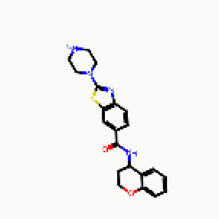 O=C(NC1CCOc2ccccc21)c1ccc2nc(N3CCNCC3)sc2c1